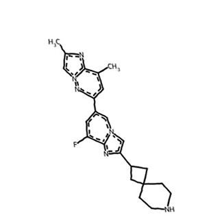 Cc1cn2nc(-c3cc(F)c4nc(C5CC6(CCNCC6)C5)cn4c3)cc(C)c2n1